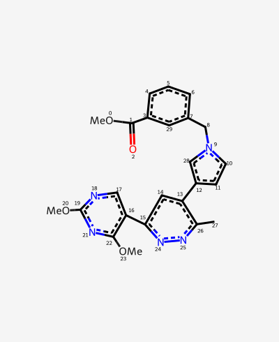 COC(=O)c1cccc(Cn2ccc(-c3cc(-c4cnc(OC)nc4OC)nnc3C)c2)c1